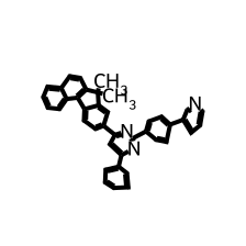 CC1(C)c2cc(-c3cc(-c4ccccc4)nc(-c4ccc(-c5cccnc5)cc4)n3)ccc2-c2c1ccc1ccccc21